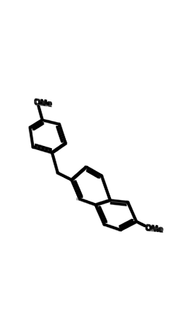 COc1ccc(Cc2[c]c3ccc(OC)cc3cc2)cc1